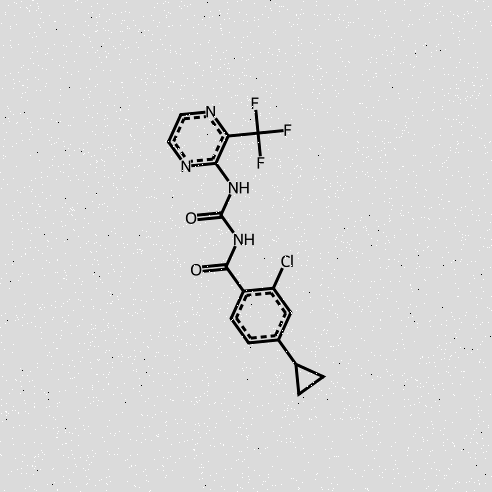 O=C(NC(=O)c1ccc(C2CC2)cc1Cl)Nc1nccnc1C(F)(F)F